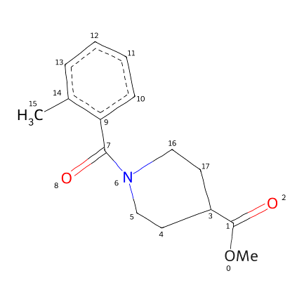 COC(=O)C1CCN(C(=O)c2ccccc2C)CC1